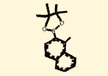 Cc1c(B2OC(C)(C)C(C)(C)O2)ccc2ccccc12